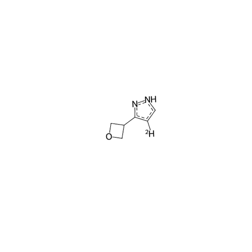 [2H]c1c[nH]nc1C1COC1